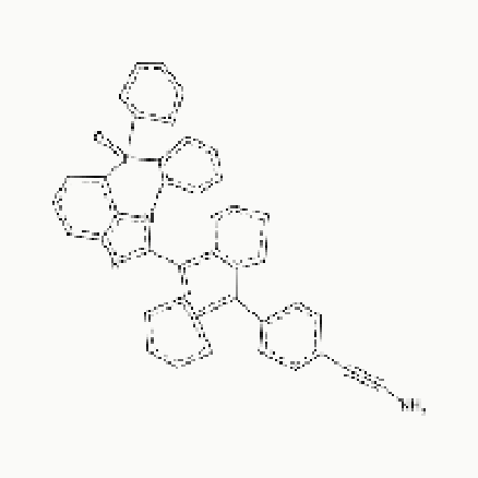 NC#Cc1ccc(-c2c3ccccc3c(-c3nc4cccc5c4n3-c3ccccc3P5(=O)c3ccccc3)c3ccccc23)cc1